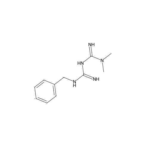 CN(C)C(=N)NC(=N)NCc1cc[c]cc1